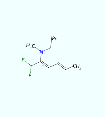 CC=C/C=C(/C(F)F)N(C)CC(C)C